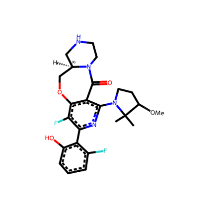 COC1CCN(c2nc(-c3c(O)cccc3F)c(F)c3c2C(=O)N2CCNC[C@@H]2CO3)C1(C)C